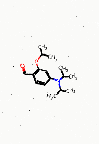 CC(C)Oc1cc(N(C(C)C)C(C)C)ccc1C=O